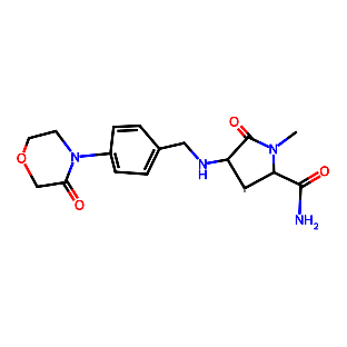 CN1C(=O)C(NCc2ccc(N3CCOCC3=O)cc2)[CH]C1C(N)=O